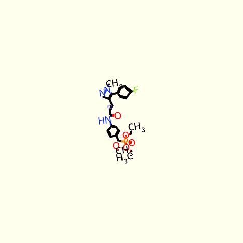 CCOP(=O)(OCC)C(OC)c1ccc(NC(=O)/C=C/c2cnn(C)c2-c2ccc(F)cc2)cc1